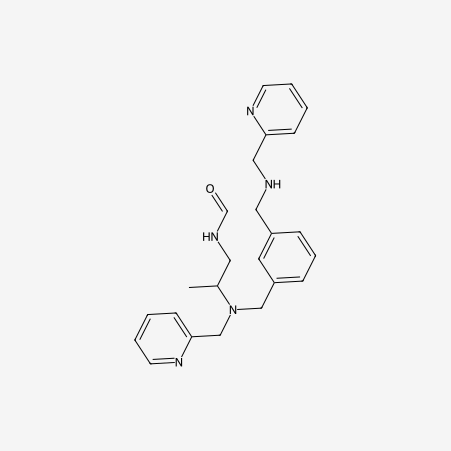 CC(CNC=O)N(Cc1cccc(CNCc2ccccn2)c1)Cc1ccccn1